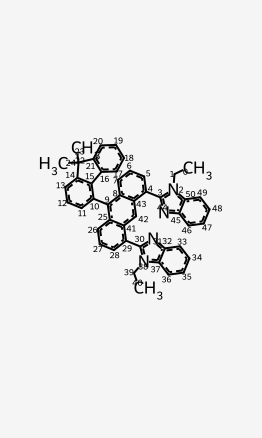 CCn1c(-c2cccc3c(-c4cccc5c4-c4ccccc4C5(C)C)c4cccc(-c5nc6ccccc6n5CC)c4cc23)nc2ccccc21